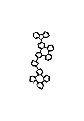 c1cc(-c2ccc3c(c2)-c2ccccc2-c2ccccc2-c2cc(-n4c5ccccc5c5ccccc54)ccc2-3)cc(-c2ccc3c(c2)-c2cccnc2-c2ncccc2-c2ccccc2-3)c1